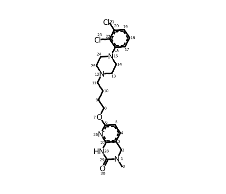 CN1Cc2ccc(OCCCCN3CCN(c4cccc(Cl)c4Cl)CC3)nc2NC1=O